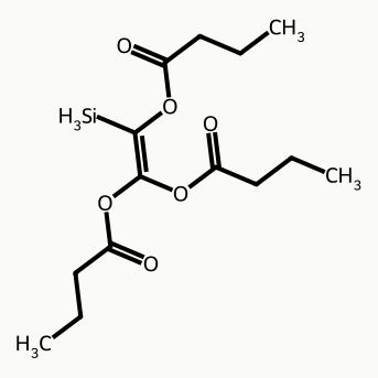 CCCC(=O)OC([SiH3])=C(OC(=O)CCC)OC(=O)CCC